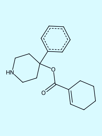 O=C(OC1(c2ccccc2)CCNCC1)C1=CCCCC1